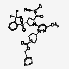 Cc1cc(N2C[C@H](S(=O)(=O)c3ccccc3C(F)(F)F)C[C@H]2C(=O)N(C#N)C2CC2)n(C2CCN(C(=O)OCc3ccccc3)CC2)n1